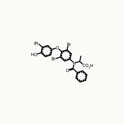 CC(C)c1cc(Oc2c(Br)cc(N(C(=O)c3ccccc3)C(C)C(=O)O)cc2Br)ccc1O